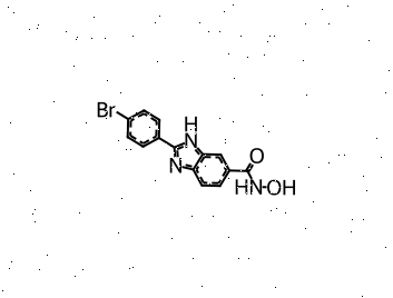 O=C(NO)c1ccc2nc(-c3ccc(Br)cc3)[nH]c2c1